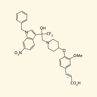 COc1cc(/C=C/C(=O)O)ccc1OC1CCN(CC(O)(c2cn(Cc3ccccc3)c3cc([N+](=O)[O-])ccc23)C(F)(F)F)CC1